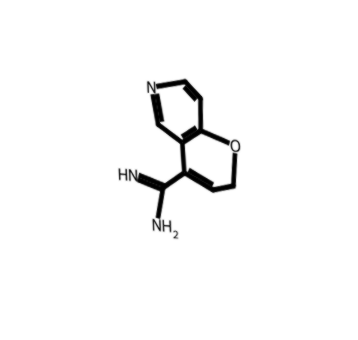 N=C(N)C1=CCOc2ccncc21